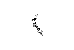 CCOC(=O)[C@H]1COc2cc(CCNC[C@H](O)COc3ccc(OCOC)cc3Cl)ccc2O1